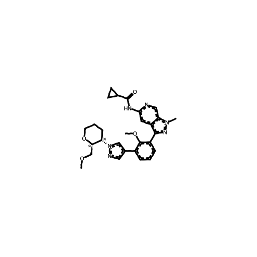 COC[C@H]1OCCC[C@@H]1n1cc(-c2cccc(-c3nn(C)c4cnc(NC(=O)C5CC5)cc34)c2OC)cn1